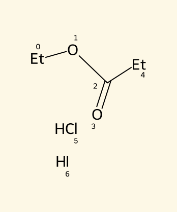 CCOC(=O)CC.Cl.I